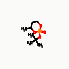 CC1CCOP(=O)(OC(C)(C)C)O1